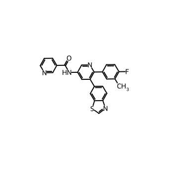 Cc1cc(-c2ncc(NC(=O)c3cccnc3)cc2-c2ccc3ncsc3c2)ccc1F